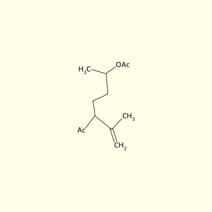 C=C(C)C(CCC(C)OC(C)=O)C(C)=O